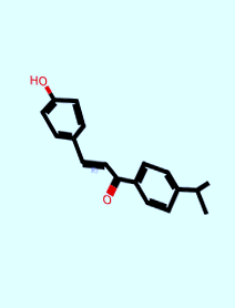 CC(C)c1ccc(C(=O)/C=C/c2ccc(O)cc2)cc1